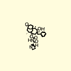 C[C@@H]1CC2CC3(CCC2=O)C[C@]1(C)[C@H](OC(=O)NC(=O)[C@H]1CN2CC[C@@H]1C2)C[C@@](C)(Cc1ccccc1)[C@@H](O)[C@@H]3C